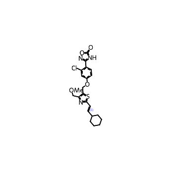 COCc1nc(/C=C/C2CCCCC2)sc1COc1ccc(-c2noc(=O)[nH]2)c(Cl)c1